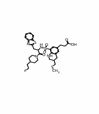 CSCC1CNc2c(cc(CCC(=O)O)cc2S(=O)(=O)NC(Cc2nc3ccccc3s2)C(=O)N2CCC(CCF)CC2)C1